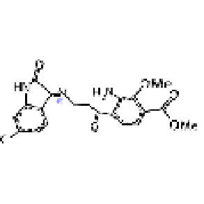 COC(=O)c1ccc(C(=O)CC/N=C2/C(=O)Nc3cc(Cl)ccc32)c(N)c1OC